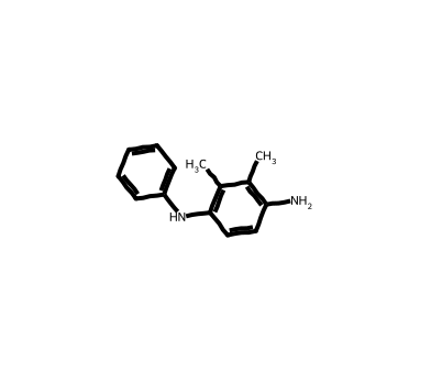 Cc1c(N)ccc(Nc2ccccc2)c1C